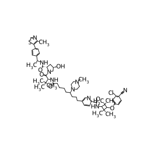 Cc1ncsc1-c1ccc([C@H](C)NC(=O)[C@@H]2C[C@@H](O)CN2C(=O)[C@@H](NC(=O)CCCCC(CCCc2ccc(C(=O)NC3C(C)(C)C(Oc4ccc(C#N)c(Cl)c4)C3(C)C)nc2)N2CCN(C)CC2)C(C)(C)C)cc1